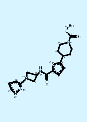 CC(C)(C)OC(=O)N1CCC(c2ccc(C(=O)NC3CN(c4cccnn4)C3)s2)CC1